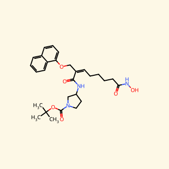 CC(C)(C)OC(=O)N1CCC(NC(=O)C(=CCCCCC(=O)NO)COc2cccc3ccccc23)C1